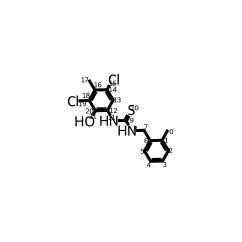 Cc1ccccc1CNC(=S)Nc1cc(Cl)c(C)c(Cl)c1O